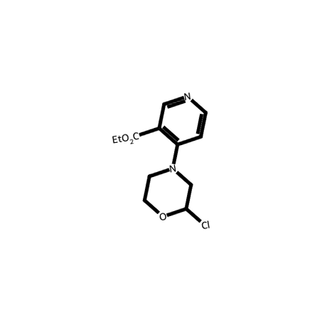 CCOC(=O)c1cnccc1N1CCOC(Cl)C1